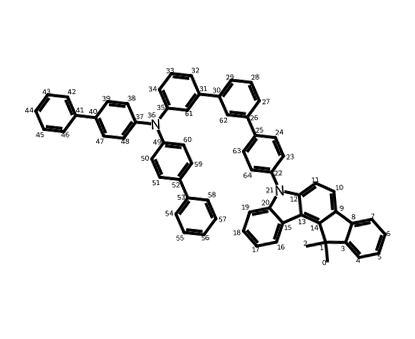 CC1(C)c2ccccc2-c2ccc3c(c21)c1ccccc1n3-c1ccc(-c2cccc(-c3cccc(N(c4ccc(-c5ccccc5)cc4)c4ccc(-c5ccccc5)cc4)c3)c2)cc1